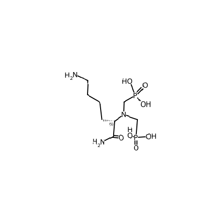 NCCCC[C@@H](C(N)=O)N(CP(=O)(O)O)CP(=O)(O)O